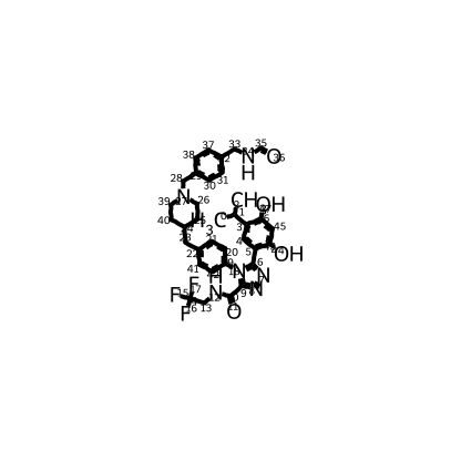 CC(C)c1cc(-c2nnc(C(=O)NCC(F)(F)F)n2-c2ccc(CC3CCN(Cc4ccc(CNC=O)cc4)CC3)cc2)c(O)cc1O